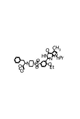 CCCn1cc(C)c2c(=O)[nH]c(-c3cc(S(=O)(=O)N4CCN(C(Cc5ccccc5)C5=COCO5)CC4)ccc3OCC)nc21